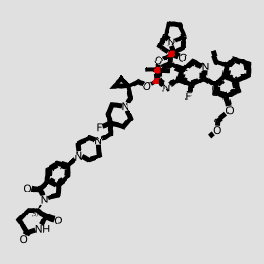 CCc1cccc2cc(OCOC)cc(-c3ncc4c(N5CC6CCC(C5)N6C(=O)OC(C)(C)C)nc(OCC5(CN6CCC(F)(CN7CCN(c8ccc9c(c8)CN([C@H]8CCC(=O)NC8=O)C9=O)CC7)CC6)CC5)nc4c3F)c12